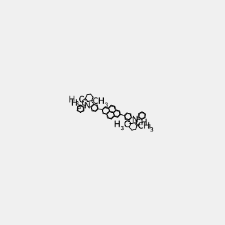 CC1CCCC2(C)c3cc(-c4cc5ccc6cc(-c7ccc8c(c7)C7(C)CCCC(C)C7(C)N8c7ccccc7)cc7ccc(c4)c5c67)ccc3N(c3ccccc3)C12C